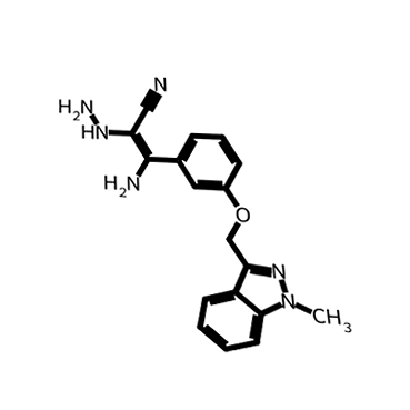 Cn1nc(COc2cccc(/C(N)=C(\C#N)NN)c2)c2ccccc21